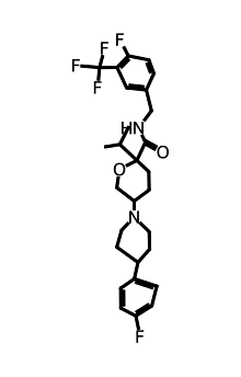 CC(C)C1(C(=O)NCc2ccc(F)c(C(F)(F)F)c2)CCC(N2CCC(c3ccc(F)cc3)CC2)CO1